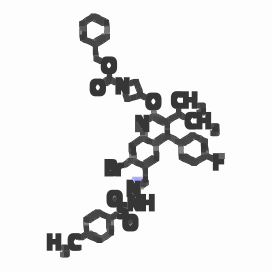 Cc1ccc(S(=O)(=O)N/N=C/c2cc3c(-c4ccc(F)cc4)c(C(C)C)c(OC4CN(C(=O)OCc5ccccc5)C4)nc3cc2Br)cc1